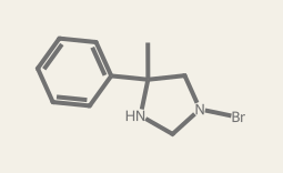 CC1(c2ccccc2)CN(Br)CN1